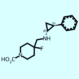 O=C(O)N1CCC(F)(CN[C@@H]2C[C@H]2c2ccccc2)CC1